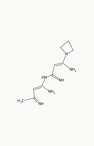 CC(=N)/C=C(\N)NC(=N)/C=C(\N)N1CCC1